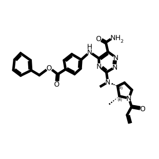 C=CC(=O)N1CC[C@@H](N(C)c2nnc(C(N)=O)c(Nc3ccc(C(=O)OCc4ccccc4)cc3)n2)[C@H]1C